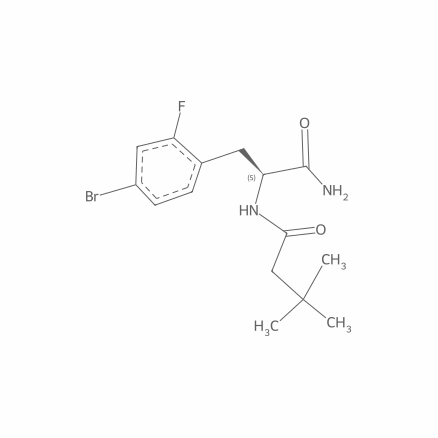 CC(C)(C)CC(=O)N[C@@H](Cc1ccc(Br)cc1F)C(N)=O